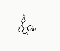 c1nc2c(c3c1ncn3C1CNC1)CCN2